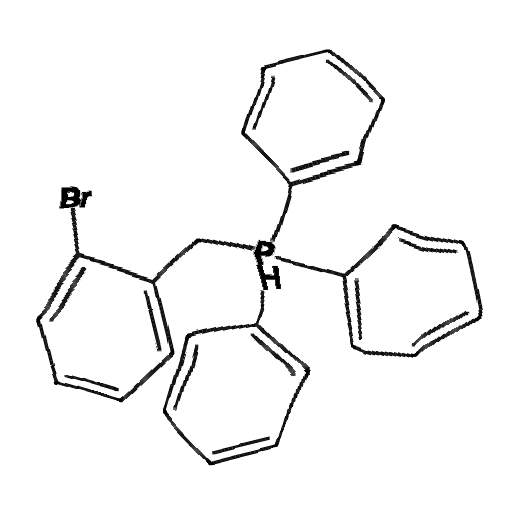 Brc1ccccc1C[PH](c1ccccc1)(c1ccccc1)c1ccccc1